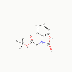 CC(C)(C)OC(=O)Cn1c(=O)oc2ccc[c]c21